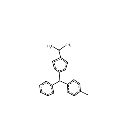 CN(C)c1ccc(C(c2ccccc2)c2ccc(I)cc2)cc1